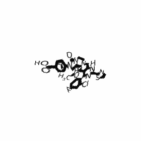 CCOC(=O)C1=C(CN2CCN3C(=O)N(C45CCC(C(=O)O)(CC4)CC5)C[C@@H]3C2)NC(c2nccs2)=N[C@H]1c1ccc(F)cc1Cl